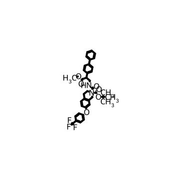 COC(=O)C(CNC(=O)[N+]1(C(=O)OC(C)(C)C)CCc2ccc(Oc3ccc(C(F)(F)F)cc3)cc2C1)c1ccc(-c2ccccc2)cc1